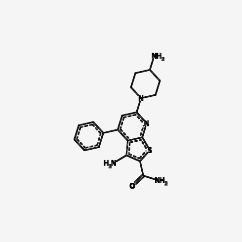 NC(=O)c1sc2nc(N3CCC(N)CC3)cc(-c3ccccc3)c2c1N